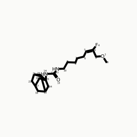 COC/C(F)=C\CCCCCNC(=O)NC12CC3CC(CC(C3)C1)C2